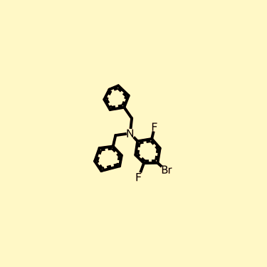 Fc1cc(N(Cc2ccccc2)Cc2ccccc2)c(F)cc1Br